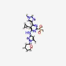 Cc1cc(Nc2nc(S(C)(=O)=O)nc(-c3cn(C)cn3)c2C2CC2)nn1C1CCCCO1